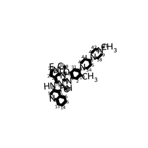 Cc1cc(Nc2nc(Nc3cnc4ccccc4c3P=O)c3cc[nH]c3n2)c(OCC(F)(F)F)cc1N1CCC(N2CCN(C)CC2)CC1